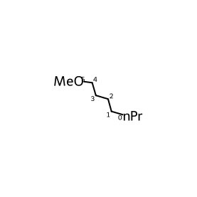 [CH2]CCCCCCOC